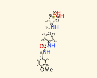 COc1ccc(CNC(=O)Nc2ccc(CNC3CCS(O)(O)C3)cc2)cc1